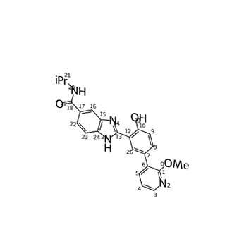 COc1ncccc1-c1ccc(O)c(-c2nc3cc(C(=O)NC(C)C)ccc3[nH]2)c1